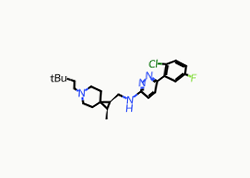 C[C@@H]1[C@H](CNc2ccc(-c3cc(F)ccc3Cl)nn2)C12CCN(CCC(C)(C)C)CC2